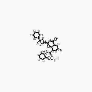 Cc1cc(C(C)Nc2ccccc2C(=O)O)c2oc(N3CC(C)(c4ccccc4)C3)cc(=O)c2c1